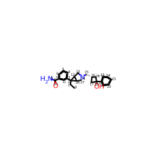 CCC1(c2cccc(C(N)=O)c2)C2CN(C[C@H]3C[C@@](O)(c4ccccc4)C3)CC21